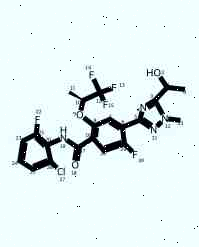 CC(O)c1nc(-c2cc(O[C@@H](C)C(F)(F)F)c(C(=O)Nc3c(F)cccc3Cl)cc2F)nn1C